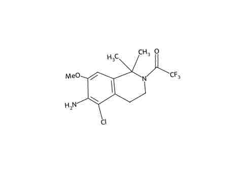 COc1cc2c(c(Cl)c1N)CCN(C(=O)C(F)(F)F)C2(C)C